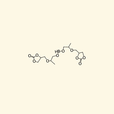 CC(COBOCC(C)OCC1COC(=O)O1)OCC1COC(=O)O1